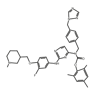 Cc1cc(C)c(OC(=O)N(Cc2ccc(Cn3cncn3)cc2)c2ccnc(Nc3ccc(OCC4CCCN(C)C4)c(F)c3)n2)c(C)c1